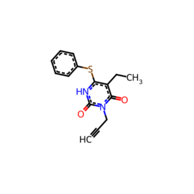 C#CCn1c(=O)[nH]c(Sc2ccccc2)c(CC)c1=O